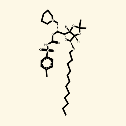 CCCCCCCCCCCCO[C@H]1O[C@H]([C@@H](CN2CCCCC2)OC(=O)NS(=O)(=O)c2ccc(C)cc2)[C@@H]2OC(C)(C)O[C@H]12